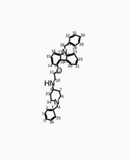 c1ccc(CN2CCC(NCCOc3cccc4c3c3ccccc3n4Cc3ccccc3)CC2)cc1